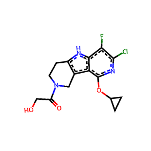 O=C(CO)N1CCc2[nH]c3c(F)c(Cl)nc(OC4CC4)c3c2C1